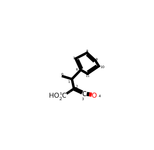 CC(C(=C=O)C(=O)O)c1ccccc1